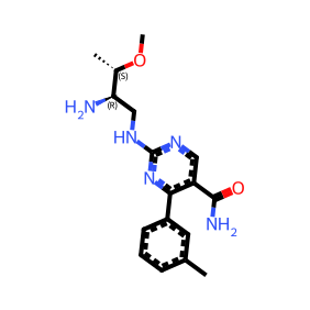 CO[C@@H](C)[C@H](N)CNc1ncc(C(N)=O)c(-c2cccc(C)c2)n1